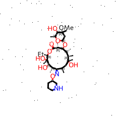 CC[C@H]1OC(=O)[C@H](C)[C@@H](O[C@H]2C[C@@](C)(OC)[C@@H](O)[C@H](C)O2)[C@H](C)[C@@H](C)[C@](C)(O)C[C@@H](C)C(=NOC2CCCNC2)[C@H](C)[C@H](O)[C@]1(C)O